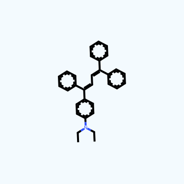 CCN(CC)c1ccc(C(=CC=C(c2ccccc2)c2ccccc2)c2ccccc2)cc1